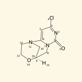 O=c1nc(Cl)cc2n1C[C@@H]1CN2CCO1